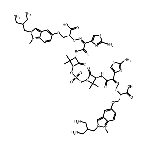 C[n+]1c2ccc(OC[C@H](O/N=C(\C(=O)N[C@@H]3C(=O)N(OS(=O)(=O)ON4C(=O)[C@@H](NC(=O)/C(=N\O[C@@H](COc5ccc6c(c5)cn(CC(CN)CN)[n+]6C)C(=O)O)c5csc(N)n5)C4(C)C)C3(C)C)c3csc(N)n3)C(=O)O)cc2cn1CC(CN)CN